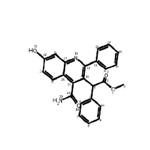 COC(=O)C(c1ccccc1)c1c(-c2ccccc2)nc2cc(O)ccc2c1C(N)=O